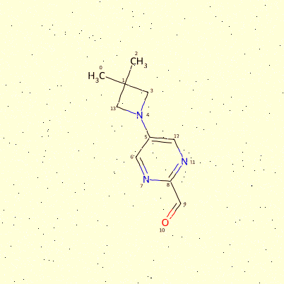 CC1(C)CN(c2cnc(C=O)nc2)C1